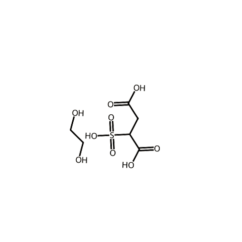 O=C(O)CC(C(=O)O)S(=O)(=O)O.OCCO